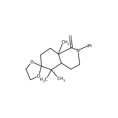 CC(C)N1CCC2C(C)(CCC3(OCCO3)C2(C)C)C1=O